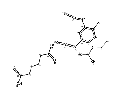 CCCC(O)O.Cc1ccc(N=C=O)cc1N=C=O.O=C(O)CCCCC(=O)O